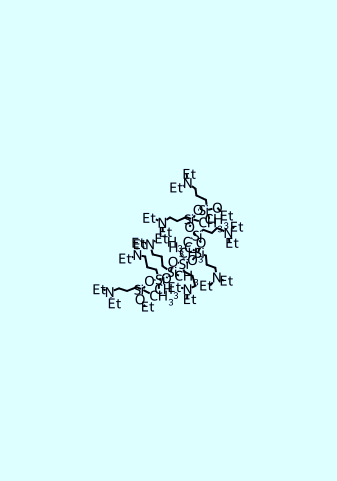 CCO[Si](C)(CCCN(CC)CC)O[Si](C)(CCCN(CC)CC)O[Si](C)(CCCN(CC)CC)O[Si](C)(CCCN(CC)CC)O[Si](C)(CCCN(CC)CC)O[Si](C)(CCCN(CC)CC)O[Si](C)(CCCN(CC)CC)O[Si](C)(CCCN(CC)CC)OCC